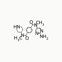 CN(C(=O)c1ccc(C(=O)N(C)C2CCNCC2)cc1)c1cnc(N)nc1